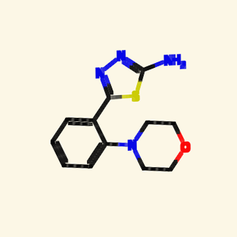 Nc1nnc(-c2ccccc2N2CCOCC2)s1